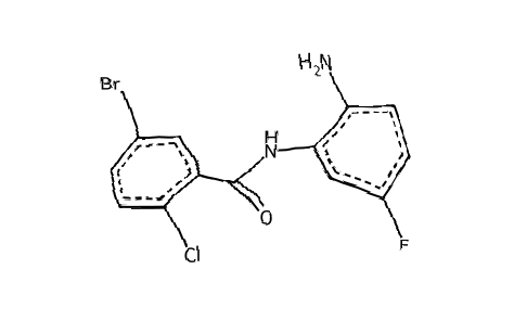 Nc1ccc(F)cc1NC(=O)c1cc(Br)ccc1Cl